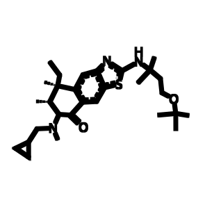 CC[C@@]1(C)c2cc3nc(NC(C)(C)CCOC(C)(C)C)sc3cc2C(=O)C(N(C)CC2CC2)[C@@H]1C